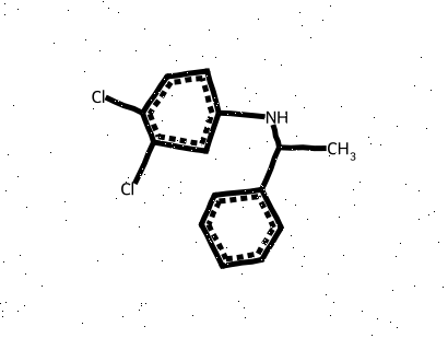 CC(Nc1ccc(Cl)c(Cl)c1)c1ccccc1